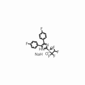 O=S(=O)(c1nc(-c2ccc(F)cc2)c(-c2ccc(F)cc2)[nH]1)C(F)(F)C(F)F.[NaH]